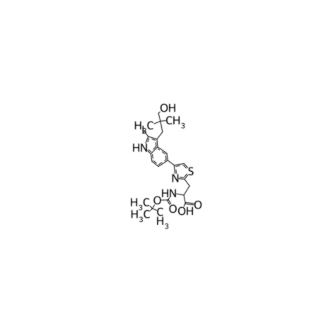 CC(C)(CO)Cc1c(I)[nH]c2ccc(-c3csc(CC(NC(=O)OC(C)(C)C)C(=O)O)n3)cc12